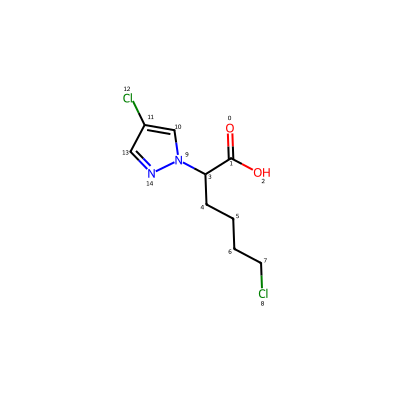 O=C(O)C(CCCCCl)n1cc(Cl)cn1